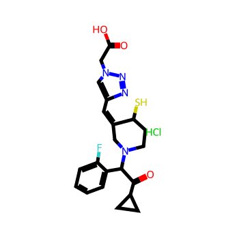 Cl.O=C(O)Cn1cc(C=C2CN(C(C(=O)C3CC3)c3ccccc3F)CCC2S)nn1